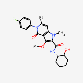 CCc1cc2c(c(OC(C)C)c(C(=O)N[C@H]3CCCCC3O)n2C)c(=O)n1-c1ccc(F)cc1